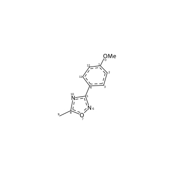 COc1ccc(-c2noc(C)n2)cc1